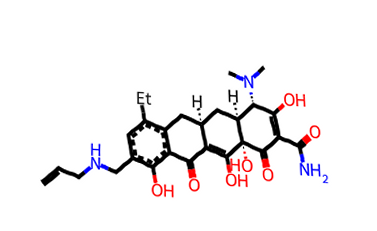 C=CCNCc1cc(CC)c2c(c1O)C(=O)C1=C(O)[C@]3(O)C(=O)C(C(N)=O)=C(O)[C@@H](N(C)C)[C@@H]3C[C@@H]1C2